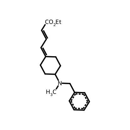 CCOC(=O)/C=C/C=C1CCC(N(C)Cc2ccccc2)CC1